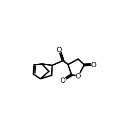 O=C1CC(C(=O)C2CC3C=CC2C3)C(=O)O1